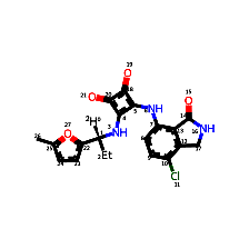 [2H][C@](CC)(Nc1c(Nc2ccc(Cl)c3c2C(=O)NC3)c(=O)c1=O)c1ccc(C)o1